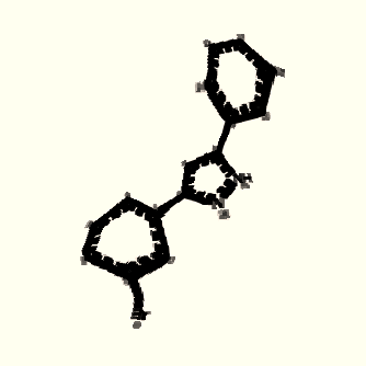 Brc1cccc(-c2cc(-c3ccccc3)[nH]n2)c1